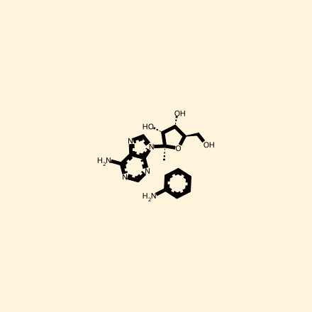 C[C@@]1(n2cnc3c(N)ncnc32)O[C@H](CO)[C@@H](O)[C@H]1O.Nc1ccccc1